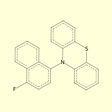 Fc1ccc(N2c3ccccc3Sc3ccccc32)c2ccccc12